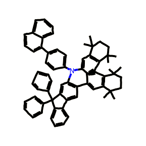 CC1(C)CCC(C)(C)c2cc(-c3cc4c(cc3N(c3ccc(-c5cccc6ccccc56)cc3)c3ccc5c(c3)C(C)(C)CCC5(C)C)C(c3ccccc3)(c3ccccc3)c3ccccc3-4)ccc21